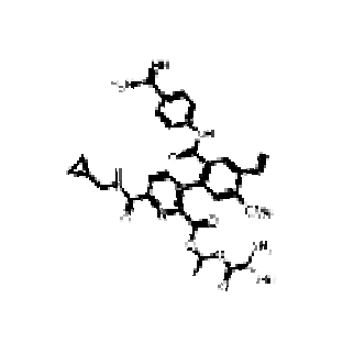 C=Cc1cc(C(=O)Nc2ccc(C(=N)N)cc2)c(-c2ccc(C(=O)NCC3CC3)nc2C(=O)OC(C)OC(=O)[C@@H](N)[C@@H](C)CC)cc1OC